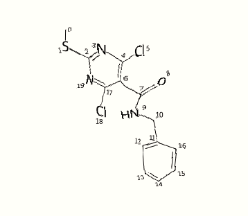 CSc1nc(Cl)c(C(=O)NCc2ccccc2)c(Cl)n1